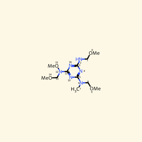 COCNc1nc(N(C)COC)nc(N(COC)OC)n1